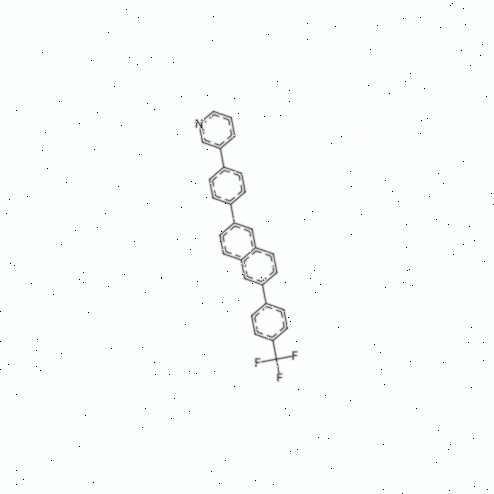 FC(F)(F)c1ccc(-c2ccc3cc(-c4ccc(-c5cccnc5)cc4)ccc3c2)cc1